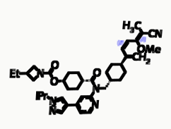 C=C(/C=C\C(OC)=C(/C)C#N)[C@H]1CC[C@H](CN(c2cc(-c3cnn(C(C)C)c3)ccn2)C(=O)[C@H]2CC[C@H](OC(=O)N3CC(CC)C3)CC2)CC1